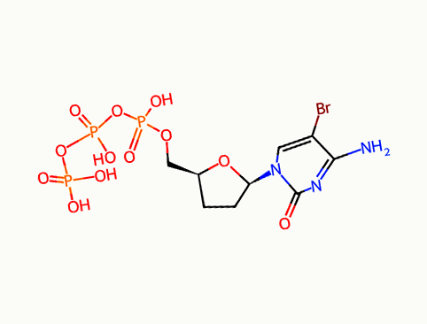 Nc1nc(=O)n([C@H]2CC[C@@H](COP(=O)(O)OP(=O)(O)OP(=O)(O)O)O2)cc1Br